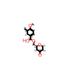 COC1=CC=C(C(O)OC[C@@H]2CC(=O)CCO2)CC1C